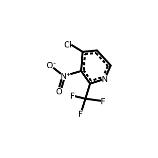 O=[N+]([O-])c1c(Cl)ccnc1C(F)(F)F